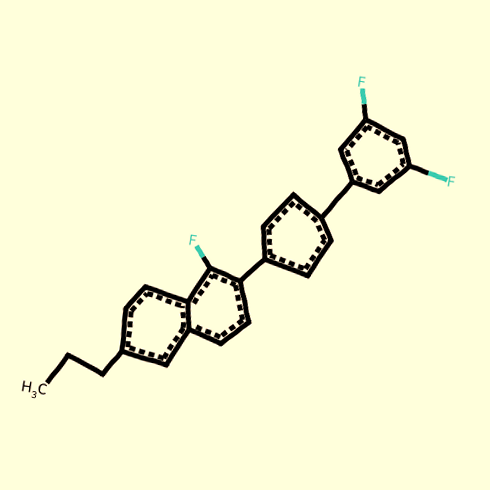 CCCc1ccc2c(F)c(-c3ccc(-c4cc(F)cc(F)c4)cc3)ccc2c1